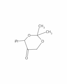 CC(C)C1OC(C)(C)OCC1=O